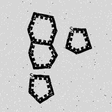 c1ccc2ccccc2c1.c1ccsc1.c1ccsc1